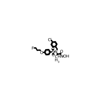 CC(C(=O)NO)N(Cc1ccc(Cl)cc1)S(=O)(=O)c1ccc(OCCCF)cc1